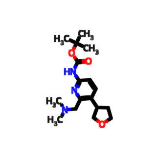 CN(C)Cc1nc(NC(=O)OC(C)(C)C)ccc1C1CCOC1